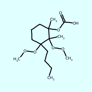 CCCCC1(OOC)CCCC(C)(OC(=O)O)C1(C)OOC